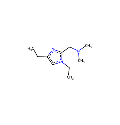 CCc1cn(CC)c(CN(C)C)n1